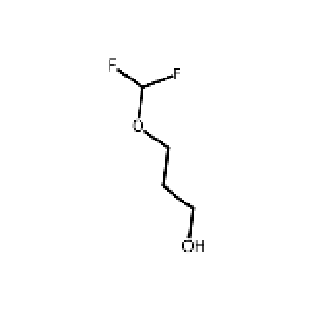 OCCCOC(F)F